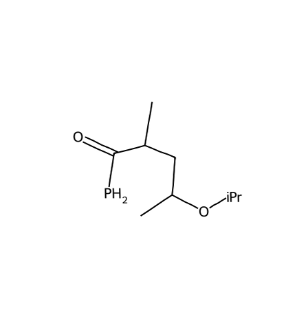 CC(C)OC(C)CC(C)C(=O)P